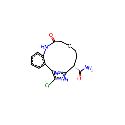 NC(=O)[C@H]1CCCCC(=O)Nc2ccccc2-c2nc1[nH]c2Cl